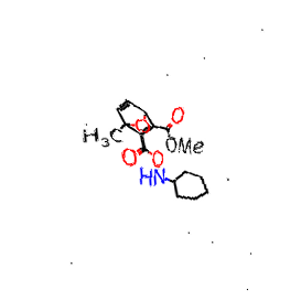 COC(=O)C1=C(C(=O)ONC2CCCCC2)C2(C)C=CC1O2